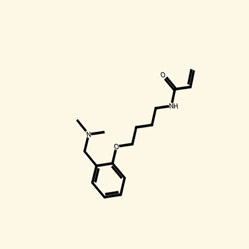 C=CC(=O)NCCCCOc1ccccc1CN(C)C